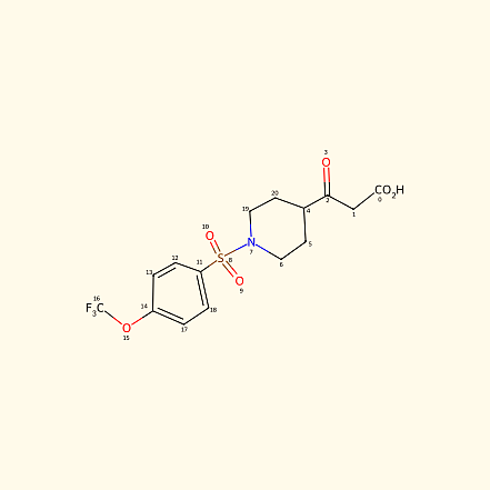 O=C(O)CC(=O)C1CCN(S(=O)(=O)c2ccc(OC(F)(F)F)cc2)CC1